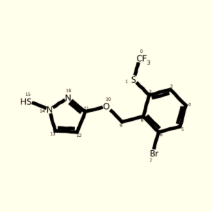 FC(F)(F)Sc1cccc(Br)c1COc1ccn(S)n1